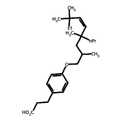 CCCC(C)(/C=C\C(C)(C)CC)CC(C)COc1ccc(CCC(=O)O)cc1